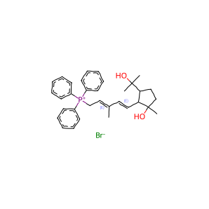 CC(/C=C/C1C(C(C)(C)O)CCC1(C)O)=C\C[P+](c1ccccc1)(c1ccccc1)c1ccccc1.[Br-]